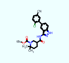 CC(C)(C)OC(=O)N1CC(C(=O)Nc2n[nH]c3ccc(-c4cc(C#N)ccc4Cl)cc23)CCC1(C)C